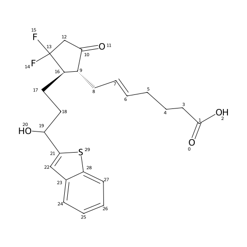 O=C(O)CCCC=CC[C@H]1C(=O)CC(F)(F)[C@@H]1CCC(O)c1cc2ccccc2s1